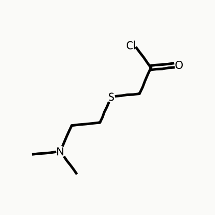 CN(C)CCSCC(=O)Cl